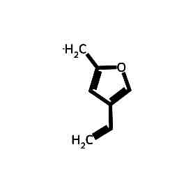 [CH2]c1cc(C=C)co1